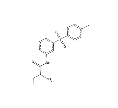 CCC(N)C(=O)Nc1cccc(S(=O)(=O)c2ccc(C)cc2)c1